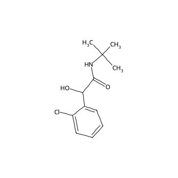 CC(C)(C)NC(=O)C(O)c1ccccc1Cl